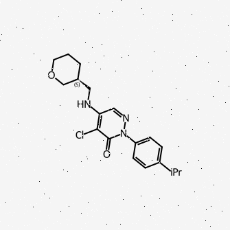 CC(C)c1ccc(-n2ncc(NC[C@@H]3CCCOC3)c(Cl)c2=O)cc1